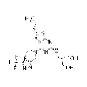 CCCc1cc2c(N3CCn4c(nnc4C(F)(F)F)C3)nc(OCC(CO)CO)nc2s1